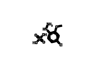 COc1cc(Cl)ccc1NN.O=S(=O)(O)O